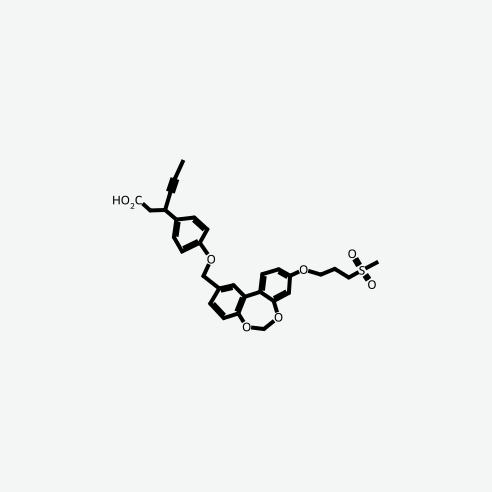 CC#CC(CC(=O)O)c1ccc(OCc2ccc3c(c2)-c2ccc(OCCCS(C)(=O)=O)cc2OCO3)cc1